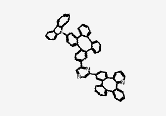 c1ccc2c(c1)-c1ccccc1-c1cc(-n3c4ccccc4c4ccccc43)ccc1-c1ccc(-c3cncc(-c4ccc5c(c4)-c4ccccc4-c4ccccc4-c4ncccc4-5)n3)cc1-2